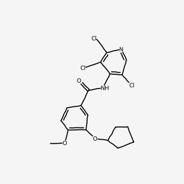 COc1ccc(C(=O)Nc2c(Cl)cnc(Cl)c2Cl)cc1OC1CCCC1